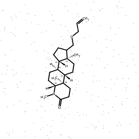 C=CCOCC1CC[C@H]2[C@@H]3CC[C@H]4N(C)C(=O)CC[C@]4(C)[C@H]3CC[C@]12C